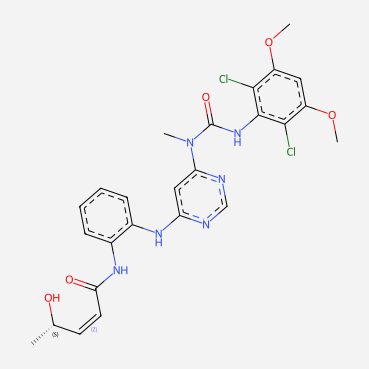 COc1cc(OC)c(Cl)c(NC(=O)N(C)c2cc(Nc3ccccc3NC(=O)/C=C\[C@H](C)O)ncn2)c1Cl